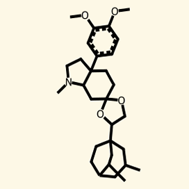 COc1ccc(C23CCN(C)C2CC2(CC3)OCC(C34CCC(CC(C)C3)C(C)C4)O2)cc1OC